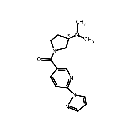 CN(C)[C@@H]1CCN(C(=O)c2ccc(-n3cccn3)nc2)C1